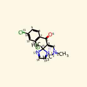 CN(C)/C=C(/C(=O)c1ccc(Cl)cc1Cl)C1(C)N=CC=N1